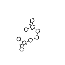 c1ccc(-c2nc(-c3ccc(-c4cccc(-c5cccc(-c6nc(-c7ccccc7)c7sc8ccccc8c7n6)c5)c4)cc3)nc3c2sc2ccccc23)cc1